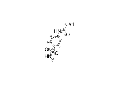 O=C(CCl)Nc1ccc(S(=O)(=O)NCl)cc1